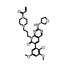 C=CC(=O)N1CCN(CCCn2c(=O)c(-c3cc(OC)cc(OC)c3Cl)cc3cnc(N[C@H]4CCOC4)nc32)CC1